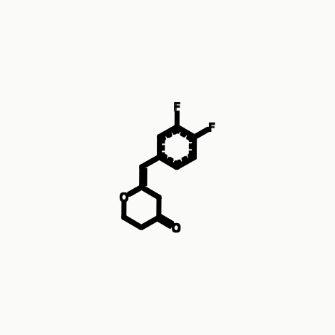 O=C1CCOC(=Cc2ccc(F)c(F)c2)C1